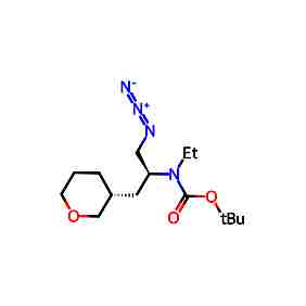 CCN(C(=O)OC(C)(C)C)[C@H](CN=[N+]=[N-])C[C@H]1CCCOC1